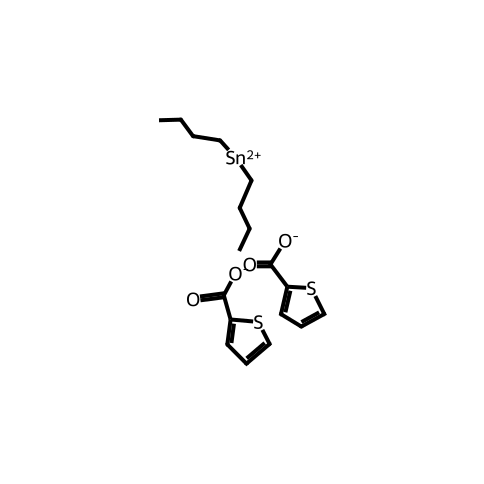 CCC[CH2][Sn+2][CH2]CCC.O=C([O-])c1cccs1.O=C([O-])c1cccs1